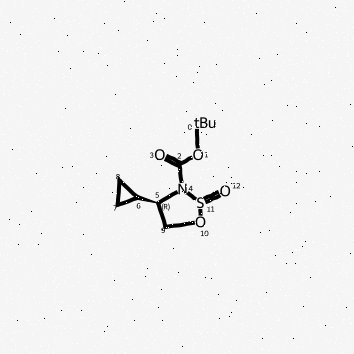 CC(C)(C)OC(=O)N1[C@H](C2CC2)COS1=O